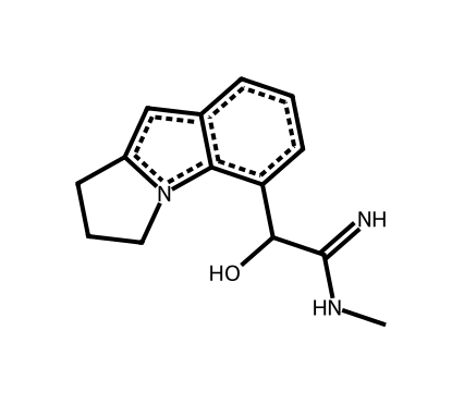 CNC(=N)C(O)c1cccc2cc3n(c12)CCC3